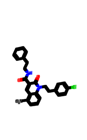 O=C(NCCc1ccccc1)c1cc2c([N+](=O)[O-])cccc2n(CCc2ccc(Cl)cc2)c1=O